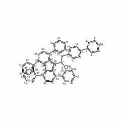 CC(Cc1ccc(-c2ccccc2)cc1)n1c2c(-c3ccccc3)ccc(-c3ccccc3)c2c2c(-c3ccccc3)ccc(-c3ccccc3)c21